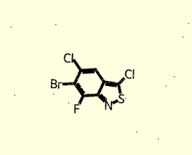 Fc1c(Br)c(Cl)cc2c(Cl)snc12